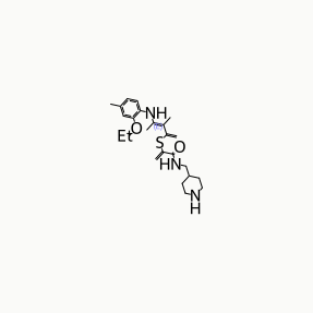 C=C(SC(=C)/C(C)=C(\C)Nc1ccc(C)cc1OCC)C(=O)NCC1CCNCC1